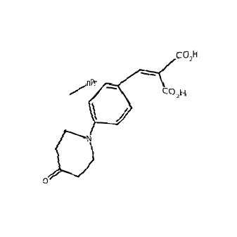 CCCC.O=C1CCN(c2ccc(C=C(C(=O)O)C(=O)O)cc2)CC1